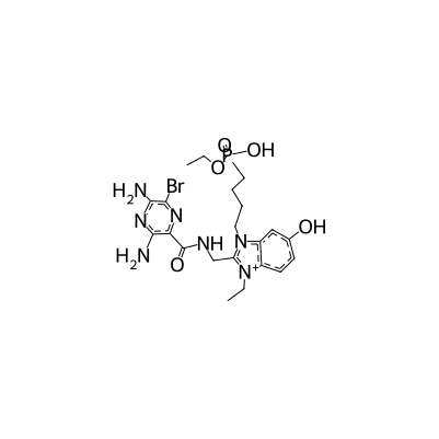 CCOP(=O)(O)CCCCn1c(CNC(=O)c2nc(Br)c(N)nc2N)[n+](CC)c2ccc(O)cc21